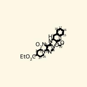 CCOC(=O)C1CCN(c2ncnc(NC(Cc3ccccc3)C3=COCO3)c2[N+](=O)[O-])CC1